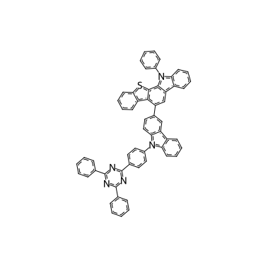 c1ccc(-c2nc(-c3ccccc3)nc(-c3ccc(-n4c5ccccc5c5cc(-c6cc7c8ccccc8n(-c8ccccc8)c7c7sc8ccccc8c67)ccc54)cc3)n2)cc1